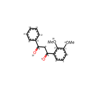 COc1cccc(C(=O)CC(=O)c2ccccc2)c1OC